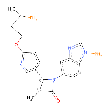 CC(P)CCOc1ccc([C@H]2[C@@H](C)C(=O)N2c2ccc3c(c2)ncn3P)cn1